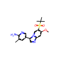 COc1cc2ncc(-c3cnc(N)c(C)c3)n2cc1S(=O)(=O)C(C)(C)C